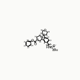 CC(C)(N[S@@+]([O-])C(C)(C)C)c1ccc(C2(N3CCN(C(=O)Oc4ccccc4)CC3)CCOCC2)cc1